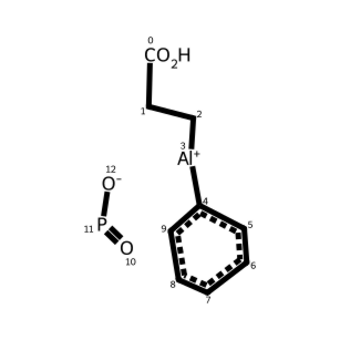 O=C(O)C[CH2][Al+][c]1ccccc1.O=P[O-]